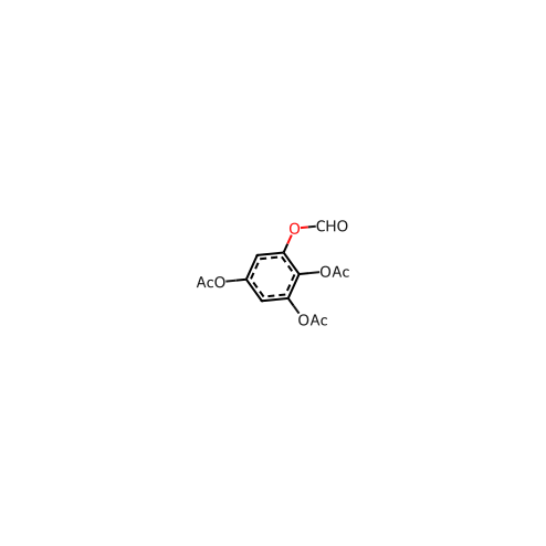 CC(=O)Oc1cc(OC=O)c(OC(C)=O)c(OC(C)=O)c1